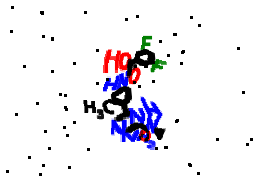 Cc1cc(NC(=O)[C@@H](O)c2cc(F)cc(F)c2)ccc1-c1cnc(N)c(C(=O)NC2CC2)n1